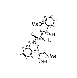 CN/C=C(\C=N)C1CN(C(=O)/C(N)=C/C(=N)c2ccccc2OC)Cc2ccccc21